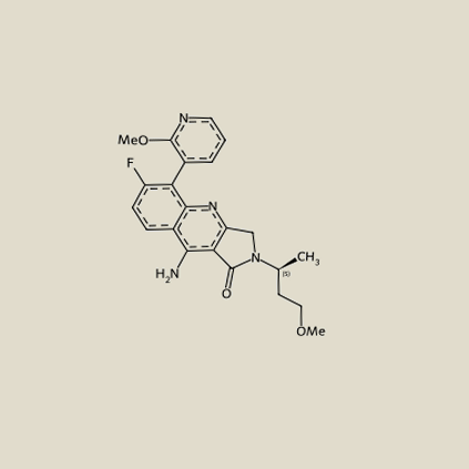 COCC[C@H](C)N1Cc2nc3c(-c4cccnc4OC)c(F)ccc3c(N)c2C1=O